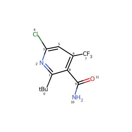 CC(C)(C)c1nc(Cl)cc(C(F)(F)F)c1C(N)=O